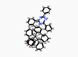 c1ccc(-c2nc(-c3ccccc3)nc(-c3ccccc3-c3ccc4c(c3)C(c3ccccc3)(c3ccccc3)C(c3ccccc3)(c3ccccc3)c3ccccc3-4)n2)cc1